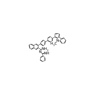 Cn1c2ccccc2c2cccc(-c3ccc(-c4ccc(-c5cc6ccccc6cc5/C(N)=N/C(=N)c5ccccc5)cc4)cc3)c21